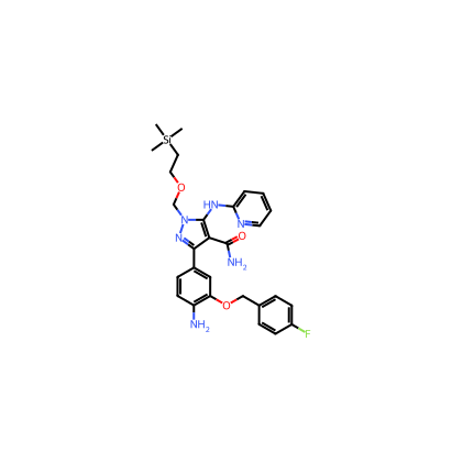 C[Si](C)(C)CCOCn1nc(-c2ccc(N)c(OCc3ccc(F)cc3)c2)c(C(N)=O)c1Nc1ccccn1